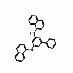 c1ccc(-c2cc(Nc3cccc4ccccc34)cc(Nc3cccc4ccccc34)c2)cc1